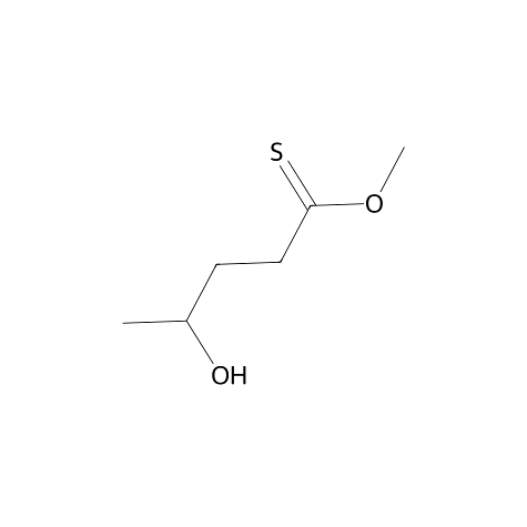 COC(=S)CCC(C)O